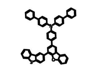 c1ccc(-c2ccc(N(c3ccc(-c4ccccc4)cc3)c3ccc(-c4cc(-c5ccc6sc7ccccc7c6c5)c5oc6ccccc6c5c4)cc3)cc2)cc1